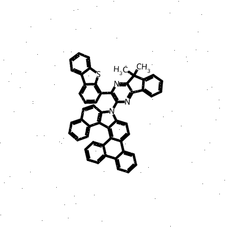 CC1(C)c2ccccc2-c2nc(-n3c4ccc5ccccc5c4c4c5c6ccccc6c6ccccc6c5ccc43)c(-c3cccc4c3sc3ccccc34)nc21